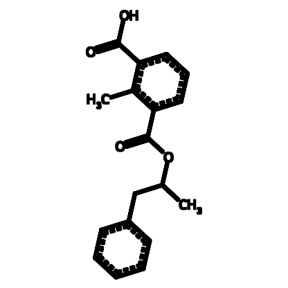 Cc1c(C(=O)O)cccc1C(=O)OC(C)Cc1ccccc1